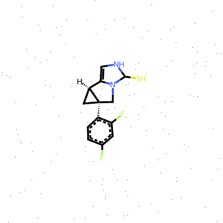 Fc1ccc([C@]23C[C@H]2C2=CNC(S)N2C3)c(F)c1